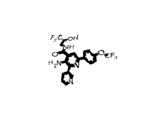 Nc1c(C(=O)NC[C@@H](O)C(F)(F)F)cc(-c2ccc(OC(F)(F)F)cc2)nc1-c1cccnc1